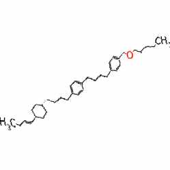 CCC=C[C@H]1CC[C@H](CCCCc2ccc(CCCCc3ccc(COCCCCC)cc3)cc2)CC1